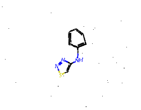 c1ccc(Nc2csnn2)cc1